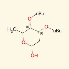 CCCCO[C@@H]1CC(O)OC(C)[C@@H]1OCCCC